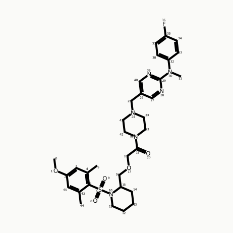 COc1cc(C)c(S(=O)(=O)N2CCCCC2COCC(=O)N2CCN(Cc3cnc(N(C)c4ccc(F)cc4)nc3)CC2)c(C)c1